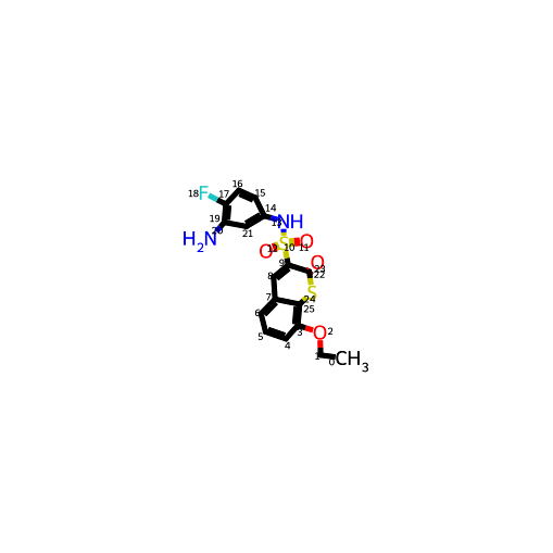 CCOc1cccc2cc(S(=O)(=O)Nc3ccc(F)c(N)c3)c(=O)sc12